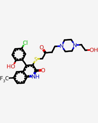 O=C(CCN1CCN(CCO)CC1)CSc1c(-c2cc(Cl)ccc2O)c2cc(C(F)(F)F)ccc2[nH]c1=O